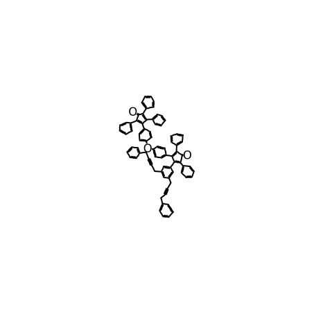 O=C1C(c2ccccc2)=C(c2ccccc2)C(c2ccc(Oc3ccc(C4=C(c5ccccc5)C(=O)C(c5ccccc5)=C4c4cc(CC#CCc5ccccc5)cc(CC#CCc5ccccc5)c4)cc3)cc2)=C1c1ccccc1